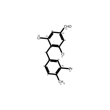 Cc1ccc(Cc2c(Cl)cc(C=O)cc2Cl)cc1C(C)C